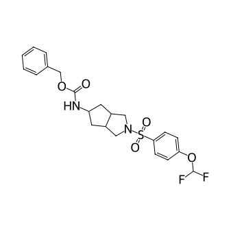 O=C(NC1CC2CN(S(=O)(=O)c3ccc(OC(F)F)cc3)CC2C1)OCc1ccccc1